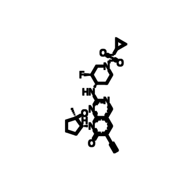 C#Cc1cc2cnc(N[C@H]3CCN(S(=O)(=O)C4CC4)C[C@@H]3F)nc2n([C@@H]2CCC[C@@]2(C)O)c1=O